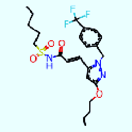 CCCCCS(=O)(=O)NC(=O)C=Cc1cc(OCCCC)nn1Cc1ccc(C(F)(F)F)cc1